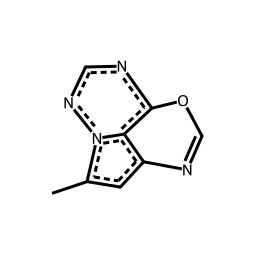 Cc1cc2c3c(ncnn13)OC=N2